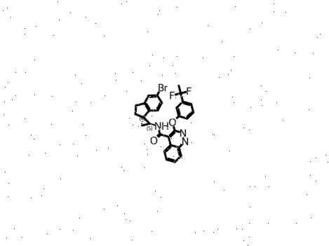 CC(F)(F)c1cccc(Oc2nnc3ccccc3c2C(=O)N[C@H]2C[C@@]23CCc2cc(Br)ccc23)c1